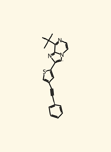 CC(C)(C)c1nccn2[c]c(-c3cc(C#Cc4ccccc4)cs3)nc12